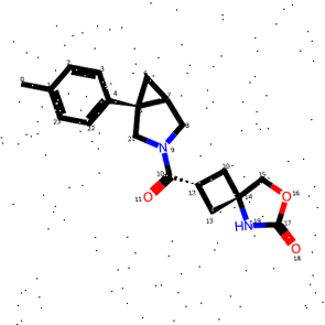 Cc1ccc([C@@]23CC2CN(C(=O)[C@H]2C[C@]4(COC(=O)N4)C2)C3)cc1